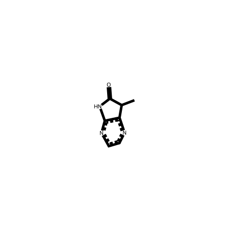 CC1C(=O)Nc2nccnc21